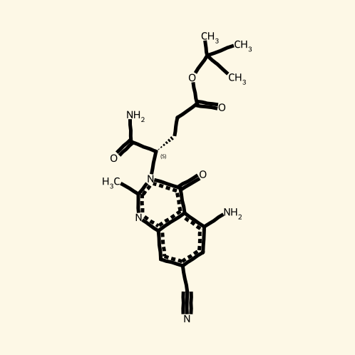 Cc1nc2cc(C#N)cc(N)c2c(=O)n1[C@@H](CCC(=O)OC(C)(C)C)C(N)=O